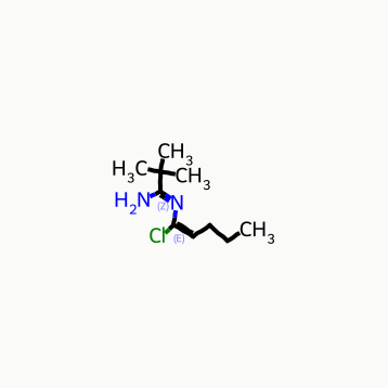 CCC/C=C(Cl)\N=C(/N)C(C)(C)C